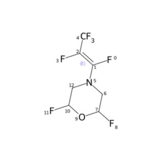 F/C(=C(/F)C(F)(F)F)N1CC(F)OC(F)C1